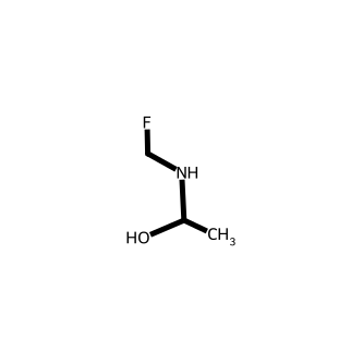 CC(O)NCF